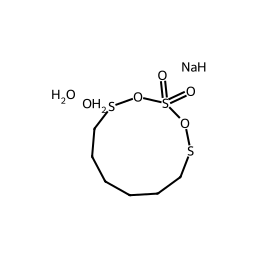 O.O.O=S1(=O)OSCCCCCCSO1.[NaH]